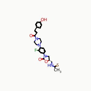 CC(=S)NC[C@H]1CN(c2ccc(N3CCN(C(=O)C=Cc4ccc(O)cc4)CC3)c(F)c2)C(=O)O1